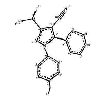 Cc1ccc(-n2nc(C(F)F)c(C#N)c2-c2ccccc2)cc1